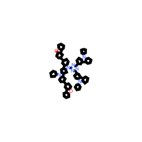 c1ccc(-n2c3ccccc3c3cc(-c4nc(-c5ccc6c(c5)c5ccccc5n6-c5ccccc5)nc(-n5c6ccc(-c7ccc8oc9ccccc9c8c7)cc6c6cc7c(cc65)c5cc(-c6ccc8oc9ccccc9c8c6)ccc5n7-c5ccccc5)n4)ccc32)cc1